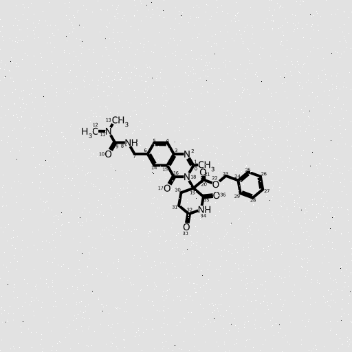 Cc1nc2ccc(CNC(=O)N(C)C)cc2c(=O)n1C1(C(=O)OCc2ccccc2)CCC(=O)NC1=O